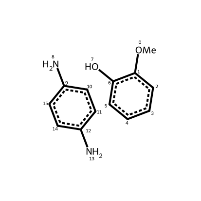 COc1ccccc1O.Nc1ccc(N)cc1